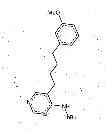 CCCCNc1ncncc1CCCCc1cccc(OC)c1